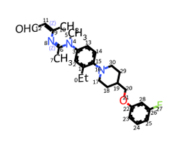 CCc1cc(N(C)/C(C)=N\C(C)=C/C=O)ccc1N1CCC(COc2cccc(F)c2)CC1